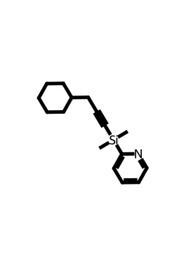 C[Si](C)(C#CCC1CCCCC1)c1ccccn1